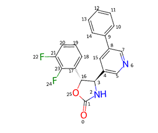 O=C1N[C@H](c2cncc(-c3ccccc3)c2)[C@@H](c2cccc(F)c2F)O1